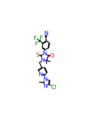 Cc1nc(Cl)cn1-c1ccc(CN2C(=S)N(c3ccc(C#N)c(C(F)(F)F)c3)C(=O)C2(C)C)cn1